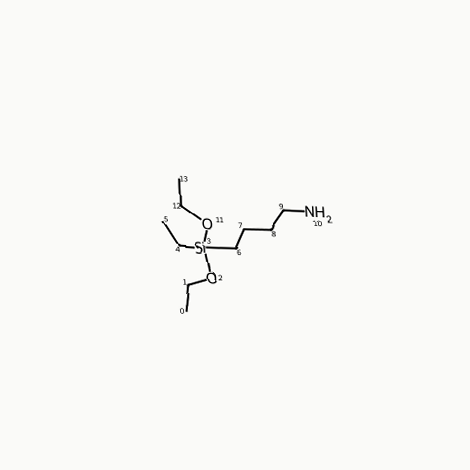 CCO[Si](CC)(CCCCN)OCC